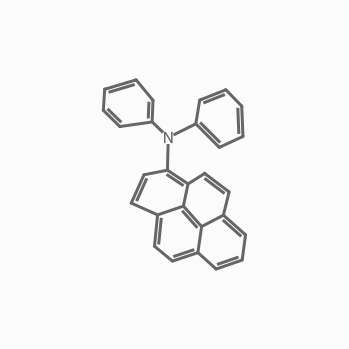 c1ccc(N(c2ccccc2)c2ccc3ccc4cccc5ccc2c3c45)cc1